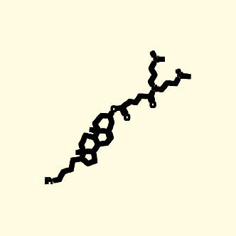 CC(C)CCCCC1CCC2C3CC=C4CC(OC(=O)CCCC(=O)N(CCCN(C)C)CCCN(C)C)CCC4(C)C3CCC12C